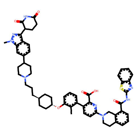 Cc1c(O[C@H]2CC[C@H](CCCN3CCC(c4ccc5c(C6CCC(=O)NC6=O)nn(C)c5c4)CC3)CC2)cccc1-c1ccc(N2CCc3cccc(C(=O)Nc4nc5ccccc5s4)c3C2)nc1C(=O)O